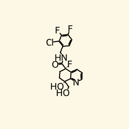 O=C(NCc1ccc(F)c(F)c1Cl)[C@]1(F)CC[C@](O)(CO)c2ncccc21